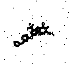 CN(C(=N)N)C(=O)c1cc2c(C(F)(F)F)cc(Oc3ccnc(CN4CCCC4)c3)cc2[nH]1